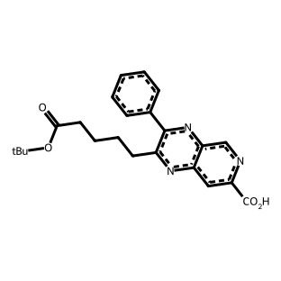 CC(C)(C)OC(=O)CCCCc1nc2cc(C(=O)O)ncc2nc1-c1ccccc1